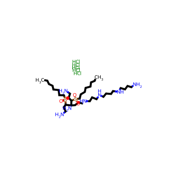 CCCCCCCCS(=O)(=O)C(CCN)C(N)(CCCNCCCNCCCCNCCCCN)C(CCN)S(=O)(=O)CCCCCCCC.Cl.Cl.Cl.Cl.Cl